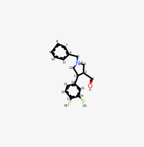 O=CC1CN(Cc2ccccc2)CC1c1ccc(F)c(F)c1